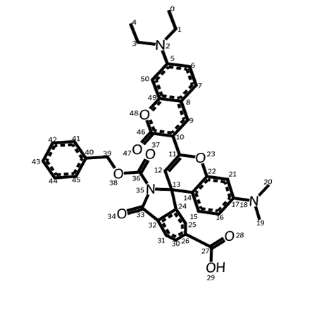 CCN(CC)c1ccc2cc(C3=CC4(c5ccc(N(C)C)cc5O3)c3cc(C(=O)O)ccc3C(=O)N4C(=O)OCc3ccccc3)c(=O)oc2c1